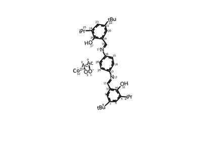 CC(=O)[O-].CC(=O)[O-].CC(C)c1cc(C(C)(C)C)cc(C=Nc2ccc(N=Cc3cc(C(C)(C)C)cc(C(C)C)c3O)cc2)c1O.[Co+2]